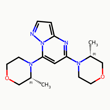 C[C@@H]1COCCN1c1cc(N2CCOC[C@H]2C)n2nccc2n1